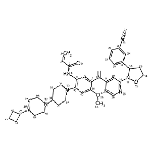 C=CC(=O)Nc1cc(Nc2cc(N3OCCC3c3cccc(C#N)c3)ncn2)c(OC)cc1N1CCC(N2CCN(C3CCC3)CC2)CC1